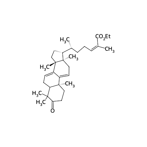 CCOC(=O)/C(C)=C\CC[C@@H](C)[C@H]1CC[C@@]2(C)C3=CCC4C(C)(C)C(=O)CC[C@]4(C)C3=CC[C@]12C